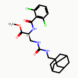 COC(=O)[C@H](CNC(=O)NCC12CC3CC(CC(C3)C1)C2)NC(=O)c1c(Cl)cccc1Cl